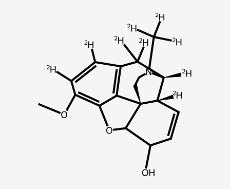 [2H]c1c([2H])c2c3c(c1OC)OC1C(O)C=C[C@]4([2H])[C@@]31CCN(C([2H])([2H])[2H])[C@]4([2H])C2([2H])[2H]